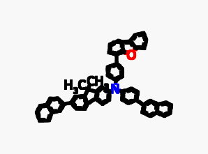 CC1(C)c2cc(-c3ccc4ccccc4c3)ccc2-c2ccc(N(c3ccc(-c4ccc5ccccc5c4)cc3)c3ccc(-c4cccc5c4oc4ccccc45)cc3)cc21